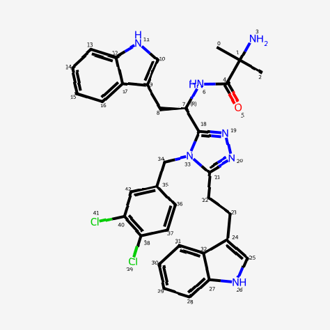 CC(C)(N)C(=O)N[C@H](Cc1c[nH]c2ccccc12)c1nnc(CCc2c[nH]c3ccccc23)n1Cc1ccc(Cl)c(Cl)c1